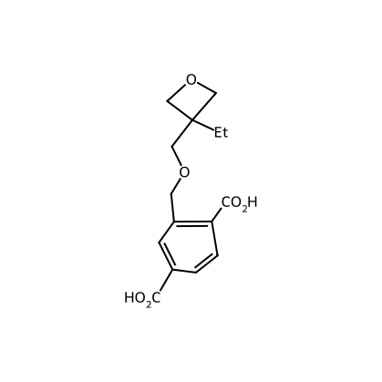 CCC1(COCc2cc(C(=O)O)ccc2C(=O)O)COC1